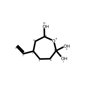 C=CC1CCC(O)(O)OC(O)C1